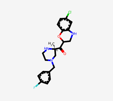 C[C@]1(C(=O)C2CNc3cc(Cl)ccc3O2)CN(Cc2ccc(F)cc2)CCN1